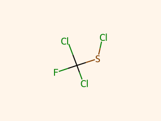 FC(Cl)(Cl)SCl